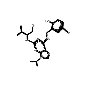 CC(C)C(CO)Nc1nc(NCc2cc(Cl)ccc2O)c2ncn(C(C)C)c2n1